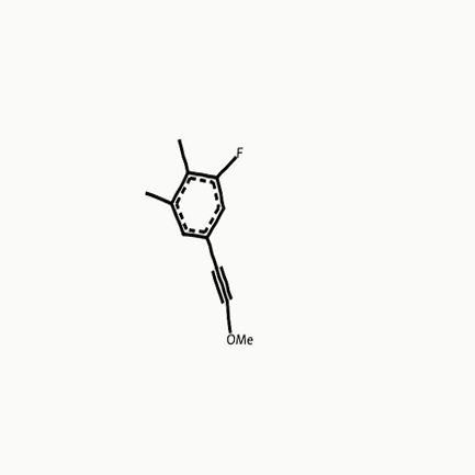 COC#Cc1cc(C)c(C)c(F)c1